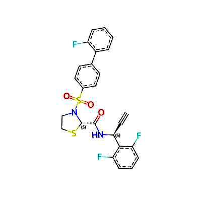 C#C[C@H](NC(=O)[C@@H]1SCCN1S(=O)(=O)c1ccc(-c2ccccc2F)cc1)c1c(F)cccc1F